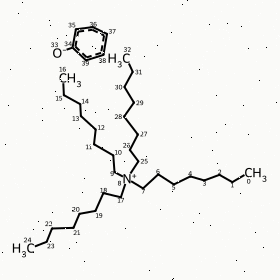 CCCCCCCC[N+](CCCCCCCC)(CCCCCCCC)CCCCCCCC.[O-]c1ccccc1